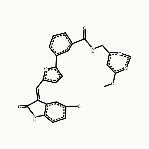 COc1cc(CNC(=O)c2cccc(-c3ccc(/C=C4/C(=O)Nc5ccc(Cl)cc54)o3)c2)ccn1